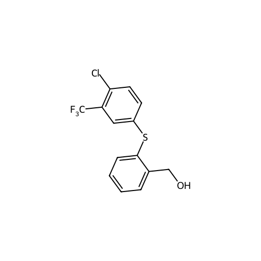 OCc1ccccc1Sc1ccc(Cl)c(C(F)(F)F)c1